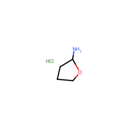 Cl.NC1CCCO1